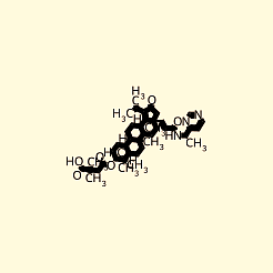 CC(C)C1=C2[C@H]3CC[C@@H]4[C@@]5(C)CC[C@H](OC(=O)CC(C)(C)C(=O)O)C(C)(C)[C@@H]5CC[C@@]4(C)[C@]3(C)CC[C@@]2(C=CC(=O)N[C@@H](C)c2ccncn2)CC1=O